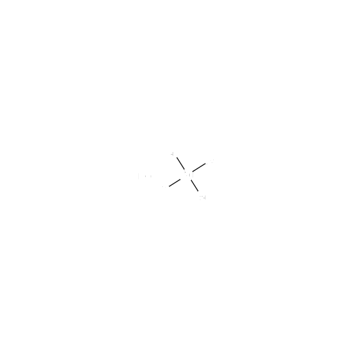 O.[Br][Au]([Br])([Br])[Br]